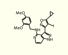 COc1ccc(CNc2nccc3[nH]nc(-c4noc(C5CC5)c4I)c23)c(OC)c1